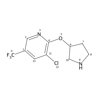 FC(F)(F)c1cnc(OC2CCNC2)c(Cl)c1